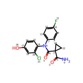 NC(=O)C1(C(=O)N(c2ccc(F)cc2)c2ccc(O)cc2Cl)CC1